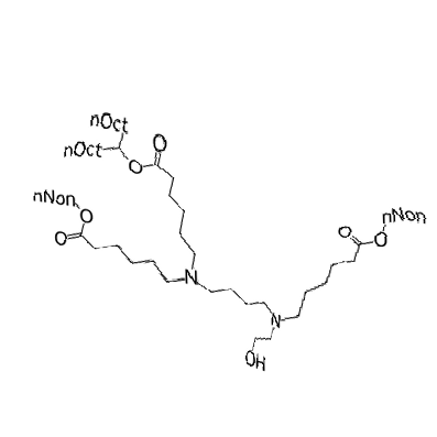 CCCCCCCCCOC(=O)CCCCCN(CCO)CCCCN(CCCCCC(=O)OCCCCCCCCC)CCCCCC(=O)OC(CCCCCCCC)CCCCCCCC